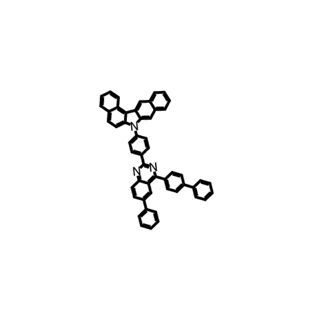 c1ccc(-c2ccc(-c3nc(-c4ccc(-n5c6cc7ccccc7cc6c6c7ccccc7ccc65)cc4)nc4ccc(-c5ccccc5)cc34)cc2)cc1